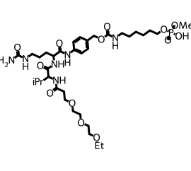 CCOCCOCCOCCC(=O)NC(C(=O)NC(CCCNC(N)=O)C(=O)Nc1ccc(COC(=O)NCCCCCCOP(=O)(O)OC)cc1)C(C)C